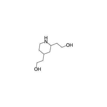 OCCC1CCNC(CCO)C1